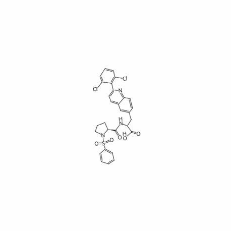 O=C(O)C(Cc1ccc2nc(-c3c(Cl)cccc3Cl)ccc2c1)NC(=O)[C@@H]1CCCN1S(=O)(=O)c1ccccc1